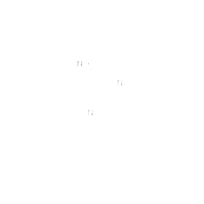 Cn1c(-c2ccccc2)c(C=[N+](C)C)c2cc([N+](=O)[O-])ccc21